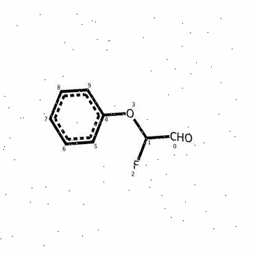 O=CC(F)Oc1ccccc1